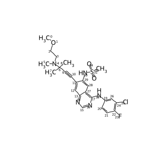 COCCN(C)C(C)(C)C#Cc1cc2ncnc(Nc3ccc(F)c(Cl)c3)c2cc1NS(C)(=O)=O